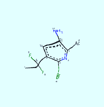 CC(=O)c1nc(Br)c(C(C)(F)F)cc1N